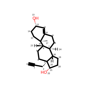 C#CC[C@]12CC[C@H]3[C@@H](CCC4=C[C@@H](O)CC[C@@]43C)[C@@H]1CC[C@@H]2O